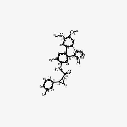 COc1ccc(-c2cc(F)c(NC(=O)C3CC3c3cccc(C)c3)cc2-c2nnn[nH]2)cc1OC